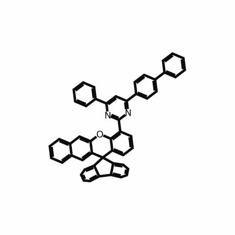 c1ccc(-c2ccc(-c3cc(-c4ccccc4)nc(-c4cccc5c4Oc4cc6ccccc6cc4C54c5ccccc5-c5ccccc54)n3)cc2)cc1